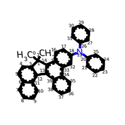 CC1(C)c2ccc3ccccc3c2-c2c1c1ccc(N(c3ccccc3)c3ccccc3)cc1c1ccccc21